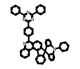 c1ccc(-c2nc(-c3ccccc3)nc(-c3ccc(-c4nc5ccccc5c5c6c(ccc45)C4(c5ccccc5-6)c5ccccc5N(c5ccccc5)c5ccccc54)cc3)n2)cc1